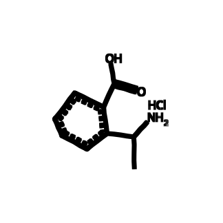 CC(N)c1ccccc1C(=O)O.Cl